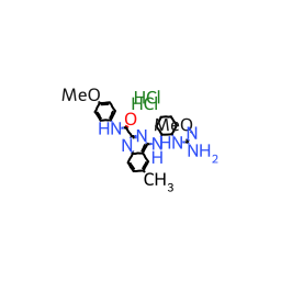 CO/N=C(/N)N[C@@H]1CCCC[C@@H]1Nc1nc(C(=O)Nc2ccc(OC)cc2)nc2ccc(C)cc12.Cl.Cl